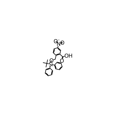 CC(C)(C)[Si](OCc1ccc([N+](=O)[O-])cc1C(=O)O)(c1ccccc1)c1ccccc1